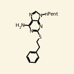 CCCCCn1cnc2c(N)nc(SCCc3ccccc3)nc21